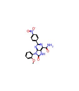 COc1ccccc1-n1c(=O)[nH]c2c(C(N)=O)nc(-c3ccc([N+](=O)[O-])cc3)nc21